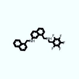 Fc1c(F)c(F)c(CNCc2cccc3ccc(NCc4cccc5ccccc45)cc23)c(F)c1F